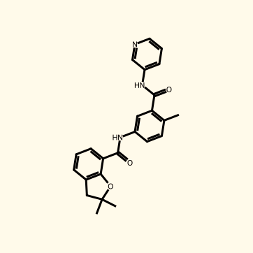 Cc1ccc(NC(=O)c2cccc3c2OC(C)(C)C3)cc1C(=O)Nc1cccnc1